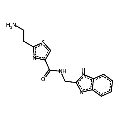 NCCc1nc(C(=O)NCc2nc3ccccc3[nH]2)cs1